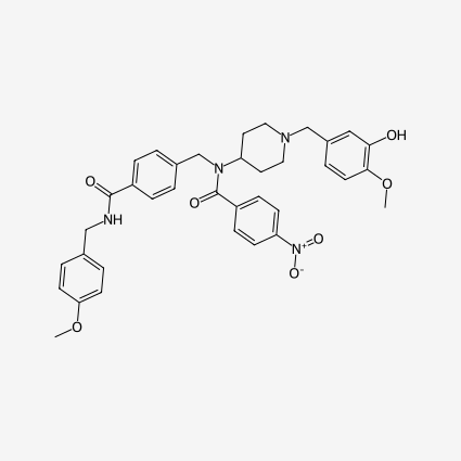 COc1ccc(CNC(=O)c2ccc(CN(C(=O)c3ccc([N+](=O)[O-])cc3)C3CCN(Cc4ccc(OC)c(O)c4)CC3)cc2)cc1